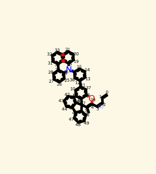 C=C/C=C\C1=C(C)C2(c3ccc(-c4cccc(N(c5ccccc5)c5ccccc5-c5ccccc5)c4)cc3O1)c1ccccc1-c1ccccc12